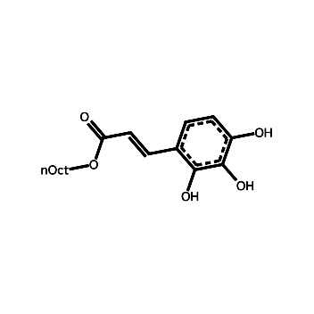 CCCCCCCCOC(=O)C=Cc1ccc(O)c(O)c1O